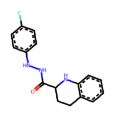 O=C(NNc1ccc(F)cc1)C1CCc2ccccc2N1